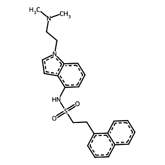 CN(C)CCn1ccc2c(NS(=O)(=O)CCc3cccc4ccccc34)cccc21